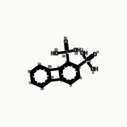 O=P(O)(O)c1ccc2c(c1P(=O)(O)O)-c1ccccc1-2